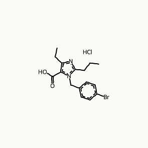 CCCc1nc(CC)c(C(=O)O)n1Cc1ccc(Br)cc1.Cl